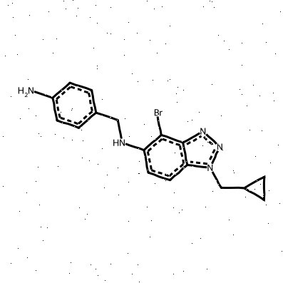 Nc1ccc(CNc2ccc3c(nnn3CC3CC3)c2Br)cc1